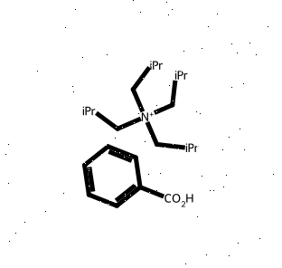 CC(C)C[N+](CC(C)C)(CC(C)C)CC(C)C.O=C(O)c1ccccc1